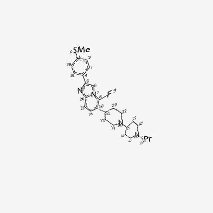 CSc1ccc(-c2cn3c(F)c(C4CCN(C5CCN(C(C)C)CC5)CC4)ccc3n2)cc1